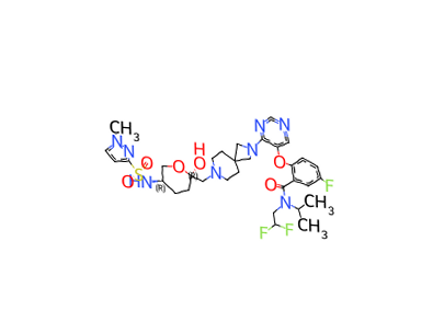 CC(C)N(CC(F)F)C(=O)c1cc(F)ccc1Oc1cncnc1N1CC2(CCN(C[C@@]3(O)CC[C@@H](NS(=O)(=O)c4ccn(C)n4)CO3)CC2)C1